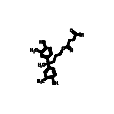 Cc1cc(C(C)(CCCOC(=O)CCC(=O)O)c2ccc(O)c(C)c2)ccc1O